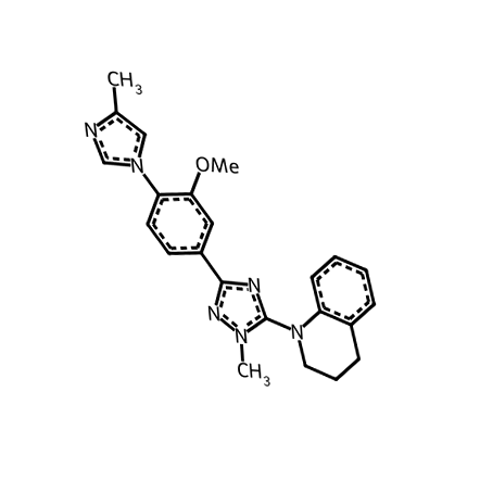 COc1cc(-c2nc(N3CCCc4ccccc43)n(C)n2)ccc1-n1cnc(C)c1